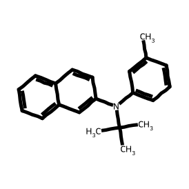 Cc1cccc(N(c2ccc3ccccc3c2)C(C)(C)C)c1